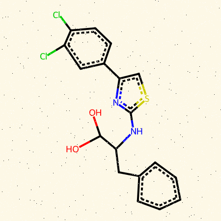 OC(O)C(Cc1ccccc1)Nc1nc(-c2ccc(Cl)c(Cl)c2)cs1